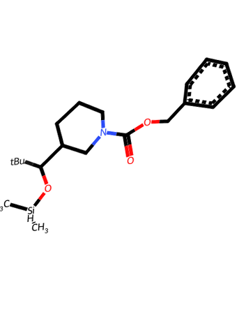 C[SiH](C)OC(C1CCCN(C(=O)OCc2ccccc2)C1)C(C)(C)C